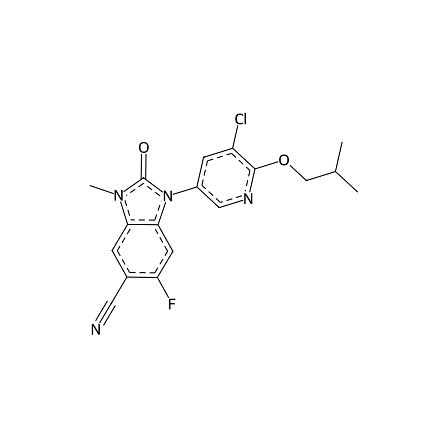 CC(C)COc1ncc(-n2c(=O)n(C)c3cc(C#N)c(F)cc32)cc1Cl